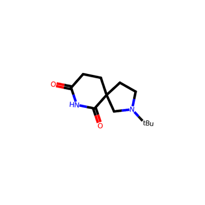 CC(C)(C)N1CCC2(CCC(=O)NC2=O)C1